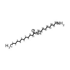 CCCCCCCCCCCC(=O)NCCCCCCCCCN